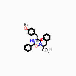 CCOc1ccc(C[C@@H](NC(=O)c2ccccc2)C(=O)N(C)[C@@H](Cc2ccccc2)C(=O)O)cc1